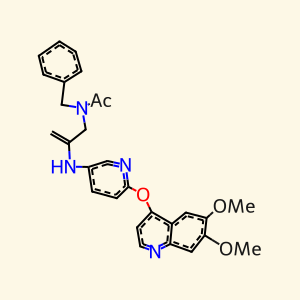 C=C(CN(Cc1ccccc1)C(C)=O)Nc1ccc(Oc2ccnc3cc(OC)c(OC)cc23)nc1